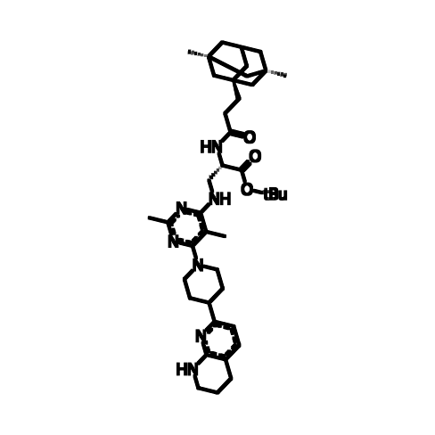 Cc1nc(NC[C@H](NC(=O)CC[C@@]23CC4C[C@@](C)(C[C@@](C)(C4)C2)C3)C(=O)OC(C)(C)C)c(C)c(N2CCC(c3ccc4c(n3)NCCC4)CC2)n1